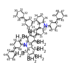 Bc1c(B)c(B)c2c(c1B)c1c(B)c(-c3ccc4c(c3)c3c(-c5cccc(-c6ccccc6)c5)cccc3n4-c3cccc(-c4ccccc4)c3)c(B)c(B)c1n2-c1cccc(-c2ccccc2)c1